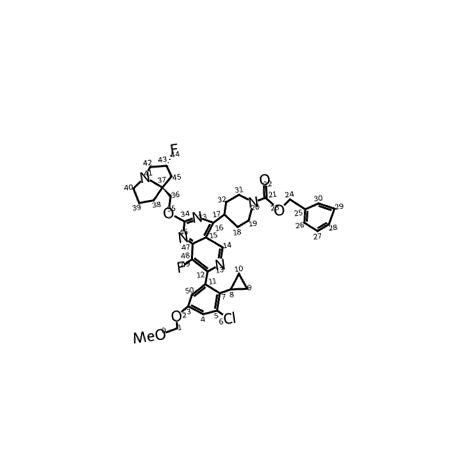 COCOc1cc(Cl)c(C2CC2)c(-c2ncc3c(C4CCN(C(=O)OCc5ccccc5)CC4)nc(OC[C@@]45CCCN4C[C@H](F)C5)nc3c2F)c1